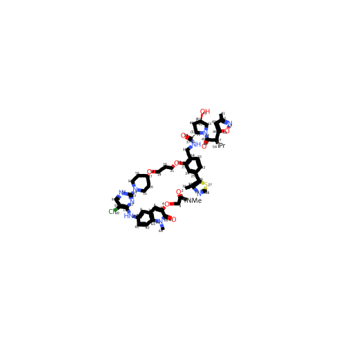 CNC(=O)COc1cc2cc(Nc3nc(N4CCC(OCCCOc5cc(-c6scnc6C)ccc5CNC(=O)[C@@H]5C[C@@H](O)CN5C(=O)C(c5cc(C)no5)C(C)C)CC4)ncc3Cl)ccc2n(C)c1=O